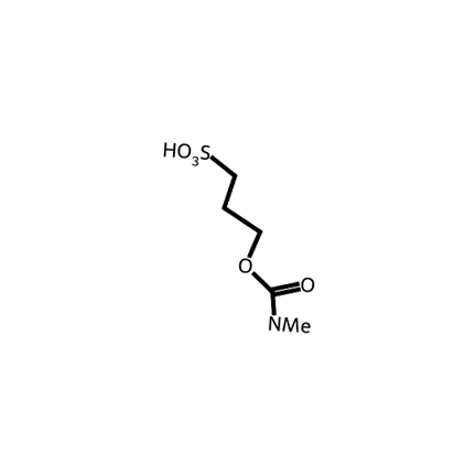 CNC(=O)OCCCS(=O)(=O)O